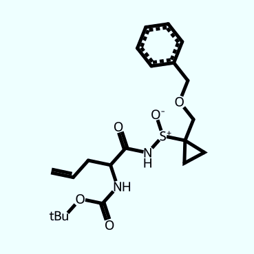 C=CCC(NC(=O)OC(C)(C)C)C(=O)N[S+]([O-])C1(COCc2ccccc2)CC1